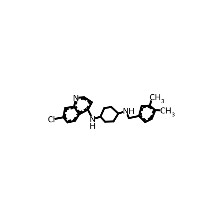 Cc1ccc(CNC2CCC(Nc3ccnc4cc(Cl)ccc34)CC2)cc1C